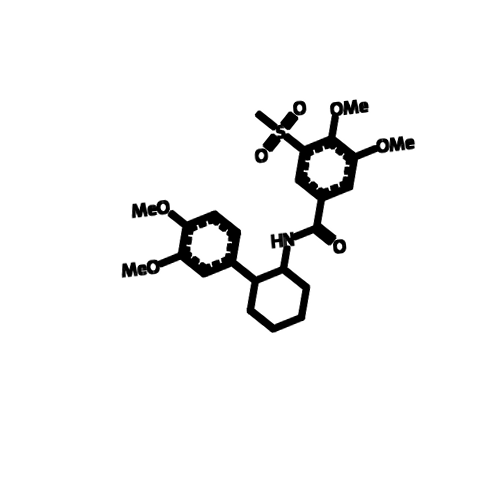 COc1ccc(C2CCCCC2NC(=O)c2cc(OC)c(OC)c(S(C)(=O)=O)c2)cc1OC